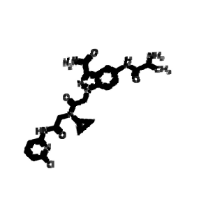 CC(N)C(=O)Nc1ccc2c(c1)c(C(N)=O)nn2CC(=O)N(CC(=O)Nc1cccc(Cl)n1)C1CC1